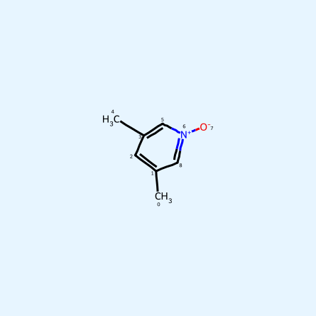 Cc1cc(C)c[n+]([O-])c1